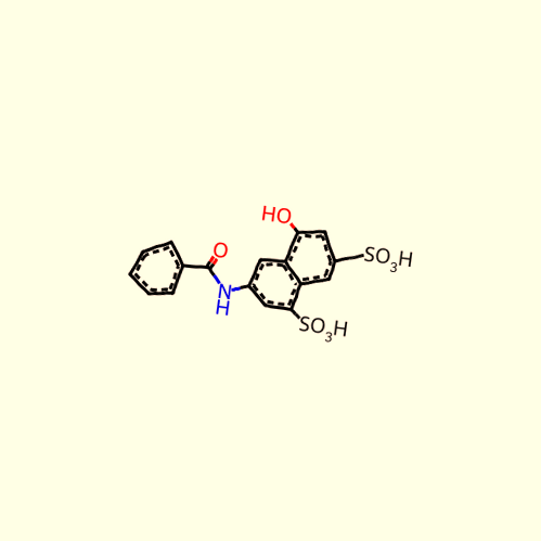 O=C(Nc1cc(S(=O)(=O)O)c2cc(S(=O)(=O)O)cc(O)c2c1)c1ccccc1